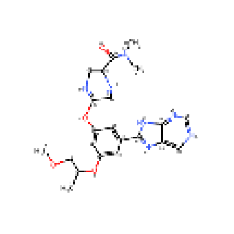 COCC(C)Oc1cc(Oc2cnc(C(=O)N(C)C)cn2)cc(-c2nc3cncnc3[nH]2)c1